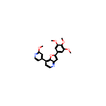 COc1cc(-c2ccnc3cc(-c4cc(OC)c(OC)c(OC)c4)oc23)ccn1